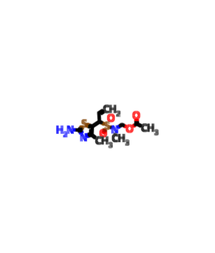 C=CC(c1sc(N)nc1C)S(=O)(=O)N(C)COC(C)=O